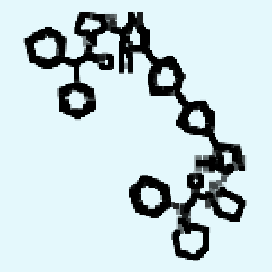 O=C(C(c1ccccc1)c1ccccc1)N1CCC[C@H]1c1ncc(-c2ccc(-c3ccc(-c4cnc([C@@H]5CCCN5C(=O)[C@@H](c5ccccc5)N5CCCCC5)[nH]4)cc3)cc2)[nH]1